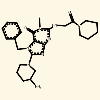 Cn1c(NCC(=O)N2CCCCC2)nc2nc(N3CCCC(N)C3)n(Cc3ccccc3)c2c1=O